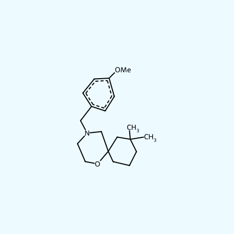 COc1ccc(CN2CCOC3(CCCC(C)(C)C3)C2)cc1